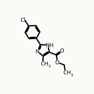 CCOC(=O)c1[nH]c(-c2ccc(Cl)cc2)nc1C